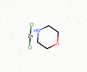 C1COCCN1.[Cl][Zn][Cl]